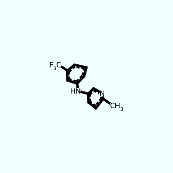 Cc1ccc(Nc2cccc(C(F)(F)F)c2)cn1